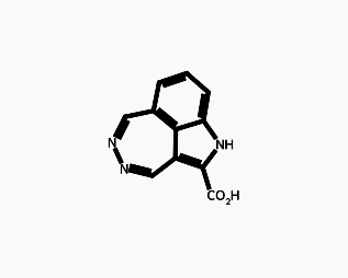 O=C(O)c1[nH]c2cccc3c2c1C=NN=C3